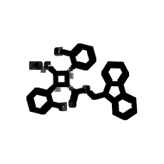 O=C(O)[C@H]1[C@H](c2ccccc2Cl)[C@H](C(=O)OCC2c3ccccc3-c3ccccc32)[C@H]1c1ccccc1Cl